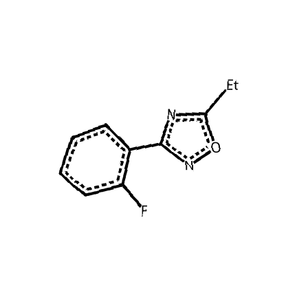 CCc1nc(-c2ccccc2F)no1